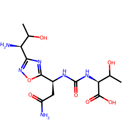 CC(O)[C@H](NC(=O)N[C@@H](CC(N)=O)c1nc([C@@H](N)C(C)O)no1)C(=O)O